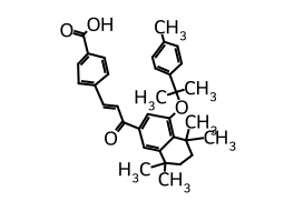 Cc1ccc(C(C)(C)Oc2cc(C(=O)/C=C/c3ccc(C(=O)O)cc3)cc3c2C(C)(C)CCC3(C)C)cc1